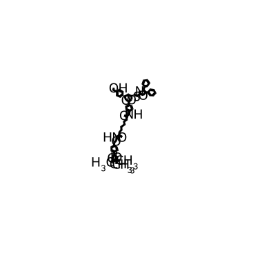 CC1(C)OB(c2ccc(CONC(=O)CCCCCCC(=O)Nc3ccc(C4O[C@@H](CSc5nc(-c6ccccc6)c(-c6ccccc6)o5)C[C@@H](c5ccc(CO)cc5)O4)cc3)cc2)OC1(C)C